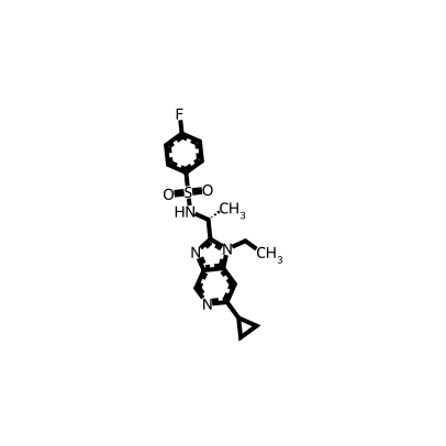 CCn1c([C@@H](C)NS(=O)(=O)c2ccc(F)cc2)nc2cnc(C3CC3)cc21